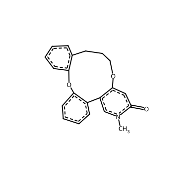 Cn1cc2c(cc1=O)OCCCc1ccccc1Oc1ccccc1-2